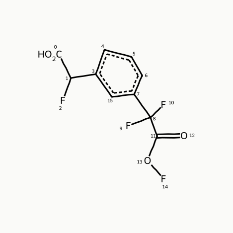 O=C(O)C(F)c1cccc(C(F)(F)C(=O)OF)c1